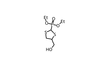 CCOP(=O)(OCC)C1SCC(CO)S1